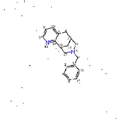 c1ccc(CN2CC3Cc4cccnc4C(C3)C2)cc1